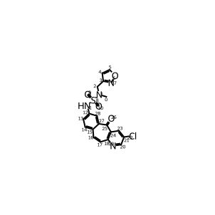 CN(Cc1ccon1)S(=O)(=O)Nc1ccc2ccc3ncc(Cl)cc3c(=O)c2c1